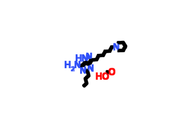 CCCCc1nc(N)c2[nH]nc(CCCCCCN3CCCCC3)c2n1.O=CO